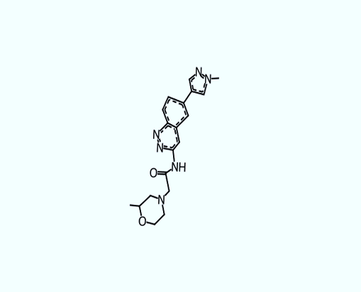 CC1CN(CC(=O)Nc2cc3cc(-c4cnn(C)c4)ccc3nn2)CCO1